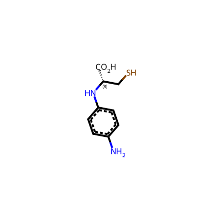 Nc1ccc(N[C@@H](CS)C(=O)O)cc1